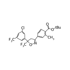 Cc1cc(C2=NOC(c3cc(Cl)cc(C(F)(F)F)c3)(C(F)(F)F)C2)ccc1C(=O)OC(C)(C)C